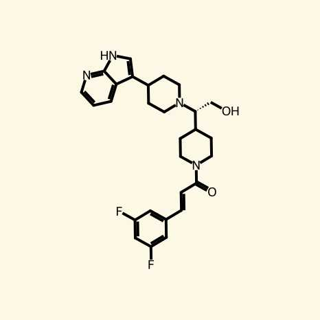 O=C(C=Cc1cc(F)cc(F)c1)N1CCC([C@@H](CO)N2CCC(c3c[nH]c4ncccc34)CC2)CC1